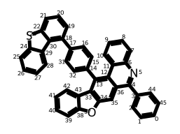 c1ccc(-c2nc3ccccc3c3c(-c4ccc(-c5cccc6sc7ccccc7c56)cc4)c4c(cc23)oc2ccccc24)cc1